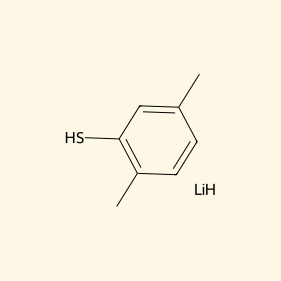 Cc1ccc(C)c(S)c1.[LiH]